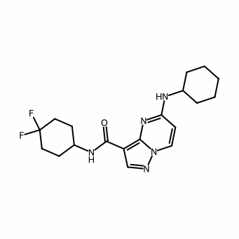 O=C(NC1CCC(F)(F)CC1)c1cnn2ccc(NC3CCCCC3)nc12